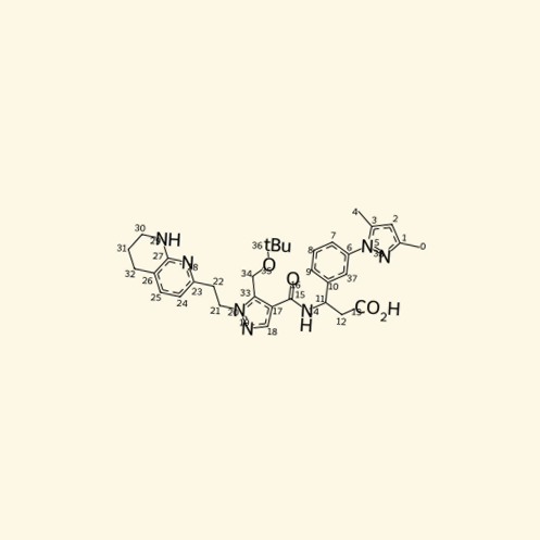 Cc1cc(C)n(-c2cccc(C(CC(=O)O)NC(=O)c3cnn(CCc4ccc5c(n4)NCCC5)c3COC(C)(C)C)c2)n1